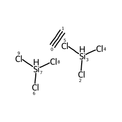 C#C.Cl[SiH](Cl)Cl.Cl[SiH](Cl)Cl